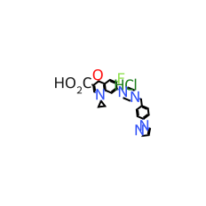 Cl.O=C(O)c1cn(C2CC2)c2cc(N3CCN(Cc4ccc(-n5cccn5)cc4)CC3)c(F)cc2c1=O